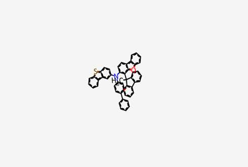 CC1(c2c(N(c3ccc(-c4ccccc4)cc3)c3ccc4sc5ccccc5c4c3)ccc3c2oc2ccccc23)c2ccccc2-c2ccccc21